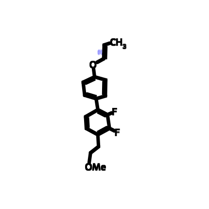 C/C=C/Oc1ccc(-c2ccc(CCOC)c(F)c2F)cc1